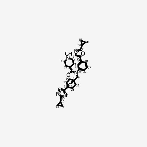 CN1CCC(C(=O)N(CC23CCC(c4nc(C5CC5)no4)(CC2)CC3)c2cccc(-c3cnc(C4CC4)o3)c2)CC1